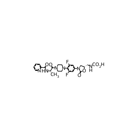 C[C@H](NC(=O)c1ccccn1)C(=O)N1CCN(c2c(F)cc(N3C[C@H](CNC(=O)O)OC3=O)cc2F)CC1